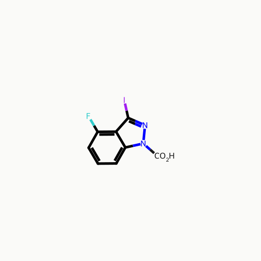 O=C(O)n1nc(I)c2c(F)cccc21